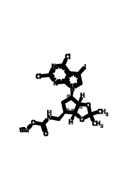 CC(C)(C)OC(=O)NC[C@H]1C[C@@H](n2cc(I)c3c(Cl)nc(Cl)nc32)[C@@H]2OC(C)(C)O[C@H]12